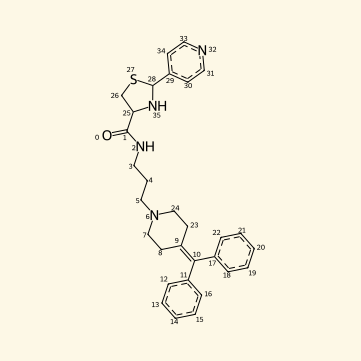 O=C(NCCCN1CCC(=C(c2ccccc2)c2ccccc2)CC1)C1CSC(c2ccncc2)N1